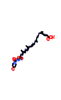 COC1CCN(C(=O)NOC(=O)/C=C/C(C)=C/C=C/C(C)=C/C=C/C=C(C)/C=C/C=C(C)\C=C\C(=O)O)CC1